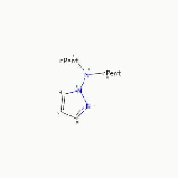 CCCCCN(CCCCC)n1cccn1